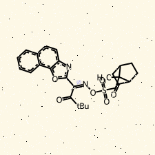 CC(C)(C)C(=O)/C(=N\OS(=O)(=O)CC1(C)C2CCC1C(=O)C2)c1nc2ccc3ccccc3c2o1